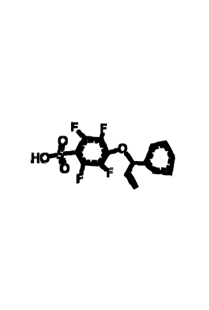 C=CC(Oc1c(F)c(F)c(S(=O)(=O)O)c(F)c1F)c1ccccc1